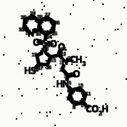 CN(CC(=O)Nc1ccc(C(=O)O)cc1)C(=O)C1CC(S)CN1S(=O)(=O)c1cccc2cccnc12